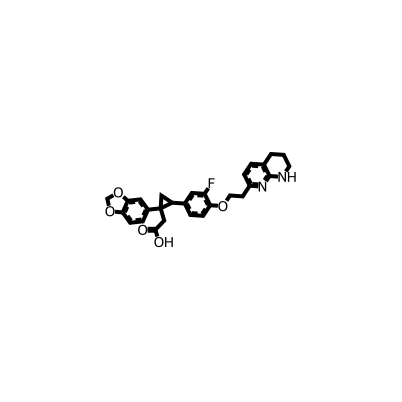 O=C(O)CC1(c2ccc3c(c2)OCO3)CC1c1ccc(OCCc2ccc3c(n2)NCCC3)c(F)c1